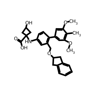 COc1cc(-c2ccc(NC3(C(=O)O)CC(O)C3)cc2COC2Cc3ccccc3C2)cc(OC)c1C